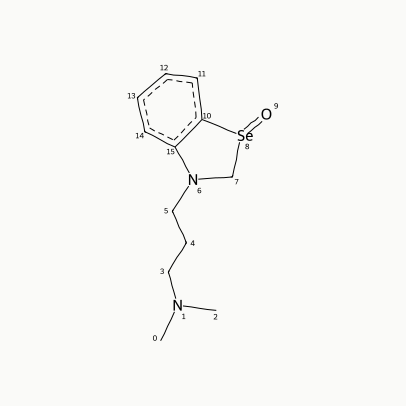 CN(C)CCCN1C[Se](=O)c2ccccc21